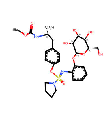 CC(C)(C)OC(=O)N[C@@H](Cc1ccc(OS(=O)(=Nc2ccccc2O[C@@H]2O[C@H](CO)[C@H](O)[C@H](O)[C@H]2O)N2CCCC2)cc1)C(=O)O